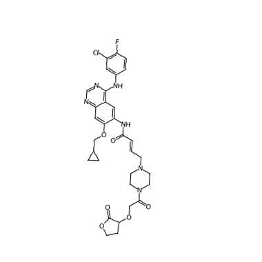 O=C(C=CCN1CCN(C(=O)COC2CCOC2=O)CC1)Nc1cc2c(Nc3ccc(F)c(Cl)c3)ncnc2cc1OCC1CC1